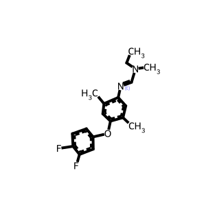 CCN(C)/C=N/c1cc(C)c(Oc2ccc(F)c(F)c2)cc1C